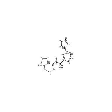 O=C(NC1CCCC2OCCC12)c1ccnc(-n2ccnc2)c1